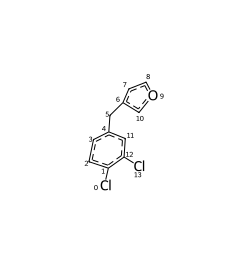 Clc1ccc(Cc2ccoc2)cc1Cl